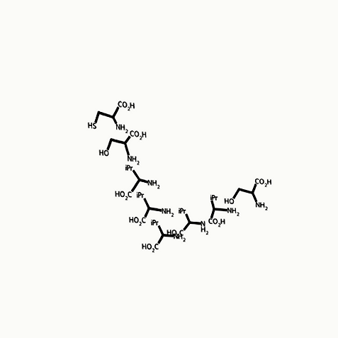 CC(C)C(N)C(=O)O.CC(C)C(N)C(=O)O.CC(C)C(N)C(=O)O.CC(C)C(N)C(=O)O.CC(C)C(N)C(=O)O.NC(CO)C(=O)O.NC(CO)C(=O)O.NC(CS)C(=O)O